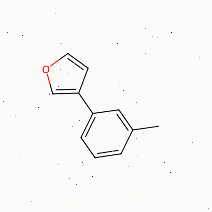 Cc1cccc(-c2[c]occ2)c1